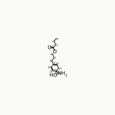 CCCC(=O)OCCCC1=CCC(N)(O)C=C1